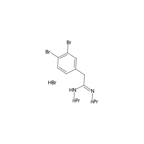 Br.CCCN=C(Cc1ccc(Br)c(Br)c1)NCCC